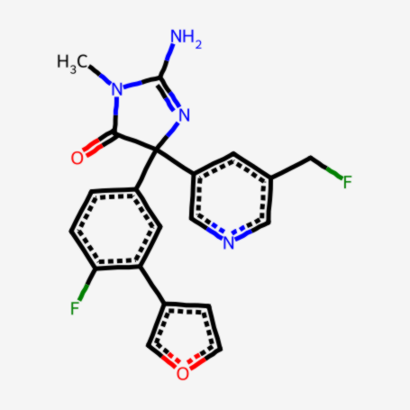 CN1C(=O)C(c2cncc(CF)c2)(c2ccc(F)c(-c3ccoc3)c2)N=C1N